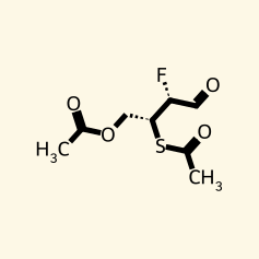 CC(=O)OC[C@@H](SC(C)=O)[C@H](F)C=O